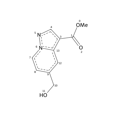 COC(=O)c1cnn2ccc(CO)cc12